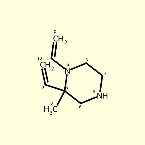 C=CN1CCNCC1(C)C=C